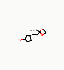 CCCCCCCC1(CC[C@H]2CCC(O)C2)OCCO1